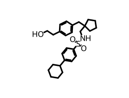 O=S(=O)(NCC1(Cc2ccc(CCO)cc2)CCCC1)c1ccc(C2CCCCC2)cc1